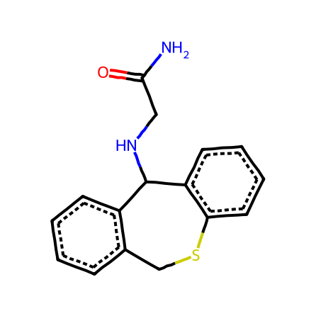 NC(=O)CNC1c2ccccc2CSc2ccccc21